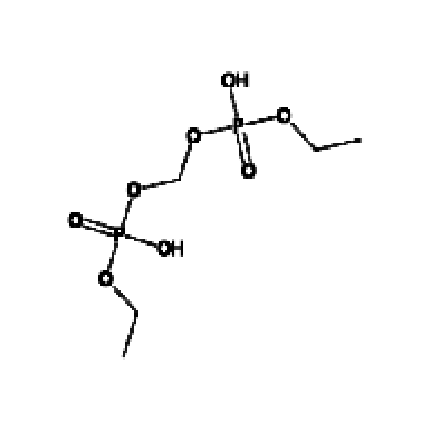 CCOP(=O)(O)OCOP(=O)(O)OCC